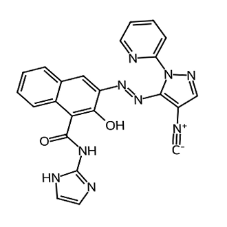 [C-]#[N+]c1cnn(-c2ccccn2)c1/N=N/c1cc2ccccc2c(C(=O)Nc2ncc[nH]2)c1O